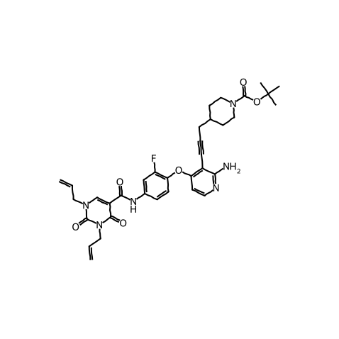 C=CCn1cc(C(=O)Nc2ccc(Oc3ccnc(N)c3C#CCC3CCN(C(=O)OC(C)(C)C)CC3)c(F)c2)c(=O)n(CC=C)c1=O